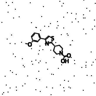 COc1cccc(-c2csc(C3CCN(C(=O)O)CC3)n2)c1